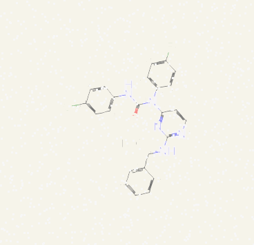 C[C@H](Nc1nccc(N(C(=O)Nc2ccc(Cl)cc2)c2ccc(F)cc2)n1)c1ccccc1